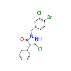 O=c1c(-c2ccccc2)c(Cl)[nH]n1Cc1ccc(Br)c(Cl)c1